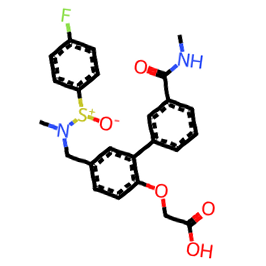 CNC(=O)c1cccc(-c2cc(CN(C)[S+]([O-])c3ccc(F)cc3)ccc2OCC(=O)O)c1